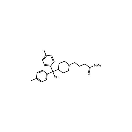 CNC(=O)CCCN1CCC(C(O)(c2ccc(C)cc2)c2ccc(C)cc2)CC1